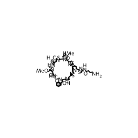 CNC(=O)C[C@@H]1NC(=O)c2csc(n2)-c2ccc(-c3nc(NC(=O)CCCN)cs3)nc2-c2csc(n2)-c2csc(n2)[C@H]([C@@H](O)c2ccccc2)NC(=O)CNC(=O)c2nc(sc2COC)NC(=O)c2nc1sc2C